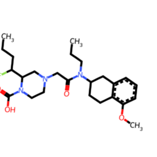 CCCC(F)C1CN(CC(=O)N(CCC)C2CCc3c(cccc3OC)C2)CCN1C(=O)O